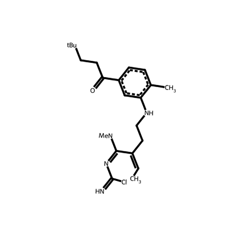 C/C=C(CCNc1cc(C(=O)CCC(C)(C)C)ccc1C)\C(=N/C(=N)Cl)NC